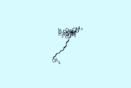 CCCCCCCCCCC[C@H](CCOS(C)(=O)=O)O[Si](C)(C)C(C)(C)C